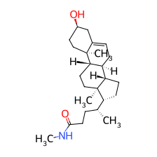 CNC(=O)CC[C@@H](C)[C@H]1CC[C@H]2[C@@H]3CC=C4C[C@H](O)CC[C@]4(C)[C@H]3CC[C@]12C